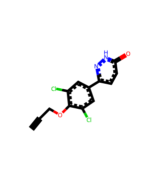 C#CCOc1c(Cl)cc(-c2ccc(=O)[nH]n2)cc1Cl